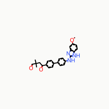 COc1ccc2[nH]c(Nc3ccc(-c4ccc(C(=O)CC(C)(C)C=O)cc4)cc3)nc2c1